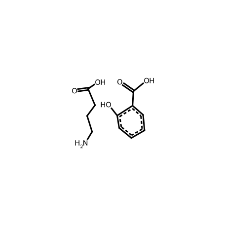 NCCCC(=O)O.O=C(O)c1ccccc1O